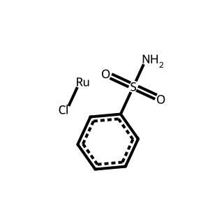 NS(=O)(=O)c1ccccc1.[Cl][Ru]